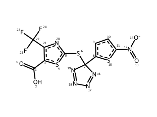 O=C(O)c1sc(SC2(c3ccc([N+](=O)[O-])s3)N=NN=N2)nc1C(F)(F)F